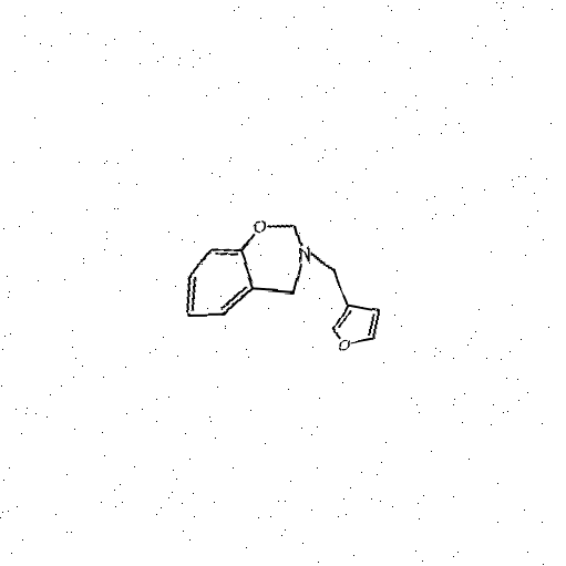 c1ccc2c(c1)CN(Cc1ccoc1)CO2